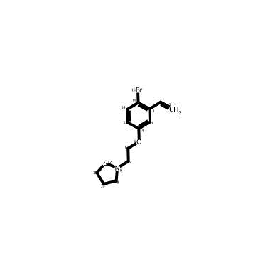 C=Cc1cc(OCCN2CCCS2)ccc1Br